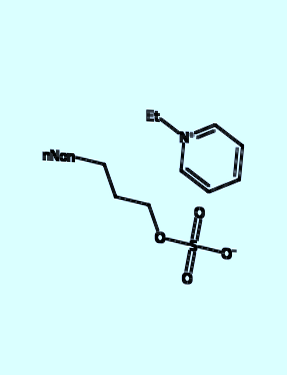 CCCCCCCCCCCCOS(=O)(=O)[O-].CC[n+]1ccccc1